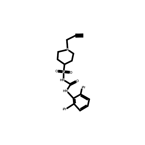 C#CCN1CCC(S(=O)(=O)NC(=O)Nc2c(C(C)C)cccc2C(C)C)CC1